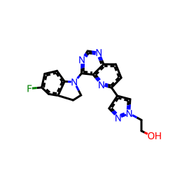 OCCn1cc(-c2ccc3ncnc(N4CCc5cc(F)ccc54)c3n2)cn1